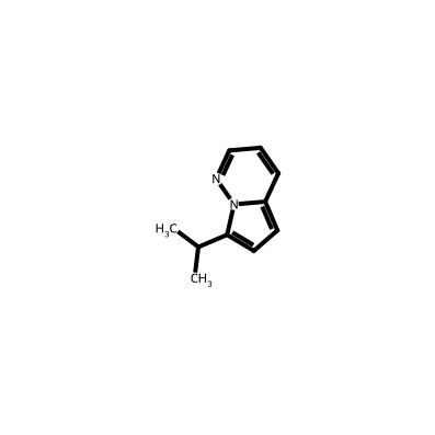 CC(C)c1ccc2cccnn12